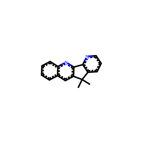 CC1(C)c2cccnc2-c2nc3ccccc3cc21